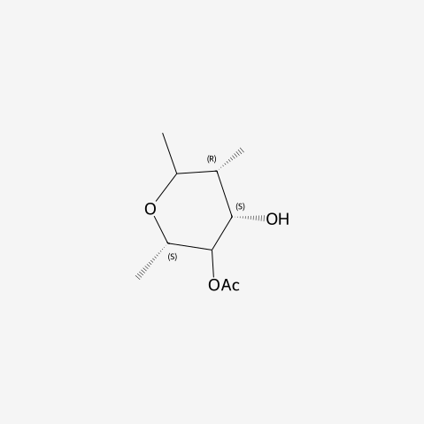 CC(=O)OC1[C@H](C)OC(C)[C@H](C)[C@@H]1O